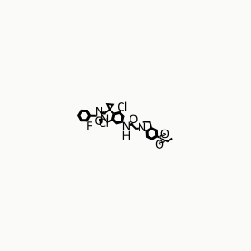 CCS(=O)(=O)c1ccc2c(c1)CCN2CC(=O)Nc1cc(Cl)c(C2(c3noc(-c4ccccc4F)n3)CC2)c(Cl)c1